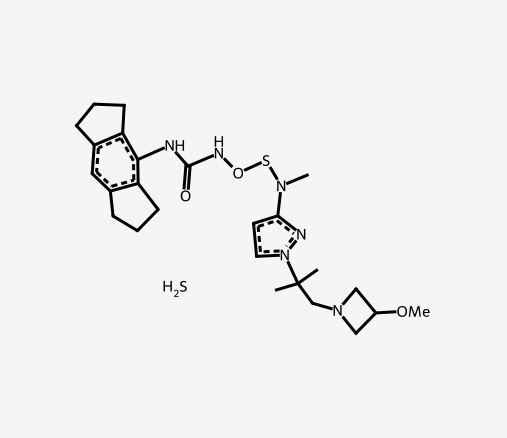 COC1CN(CC(C)(C)n2ccc(N(C)SONC(=O)Nc3c4c(cc5c3CCC5)CCC4)n2)C1.S